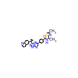 Cc1csc([C@@H](C)NC(=O)c2ccc(-c3cnc4nnc(C5(c6ccc7ncccc7c6)CC5)n4n3)cc2)n1